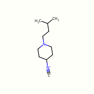 [C-]#[N+]C1CCN(CCC(C)C)CC1